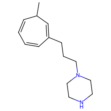 CC1C=CC=CC(CCCN2CCNCC2)=C1